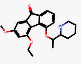 CCOc1cc(OC)cc2c1-c1c(OC(C)C3CCCCN3)cccc1C2=O